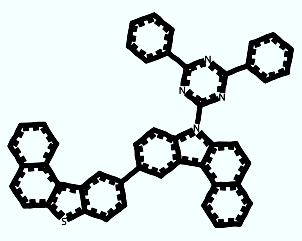 c1ccc(-c2nc(-c3ccccc3)nc(-n3c4ccc(-c5ccc6sc7ccc8ccccc8c7c6c5)cc4c4c5ccccc5ccc43)n2)cc1